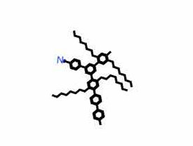 CCCCCCCCc1cc(-c2cc(-c3ccc(C#N)cc3)cc(-c3cc(CCCCCCCC)c(-c4ccc(-c5ccc(C)cc5)cc4)cc3CCCCCCCC)c2)c(CCCCCCCC)cc1C